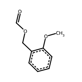 COc1ccccc1COC=O